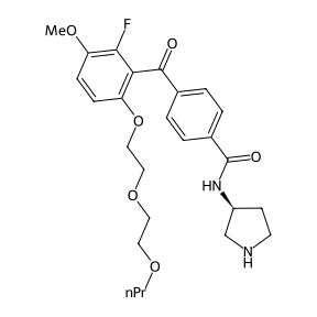 CCCOCCOCCOc1ccc(OC)c(F)c1C(=O)c1ccc(C(=O)N[C@H]2CCNC2)cc1